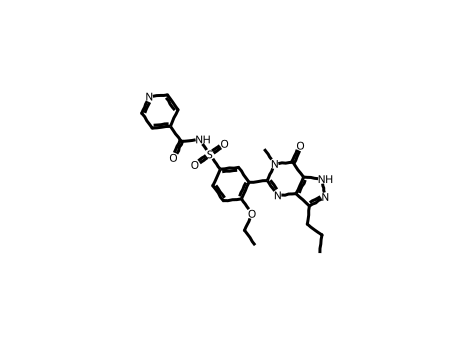 CCCc1n[nH]c2c(=O)n(C)c(-c3cc(S(=O)(=O)NC(=O)c4ccncc4)ccc3OCC)nc12